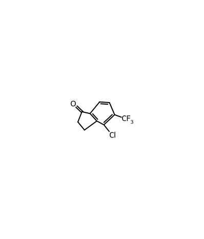 O=C1CCc2c1ccc(C(F)(F)F)c2Cl